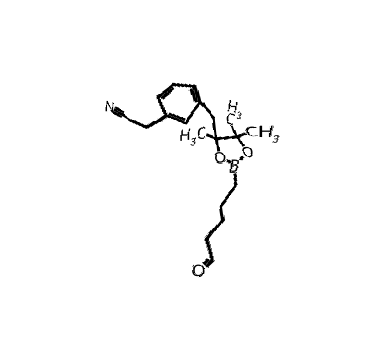 CC1(C)OB(CCCCC=O)OC1(C)Cc1cccc(CC#N)c1